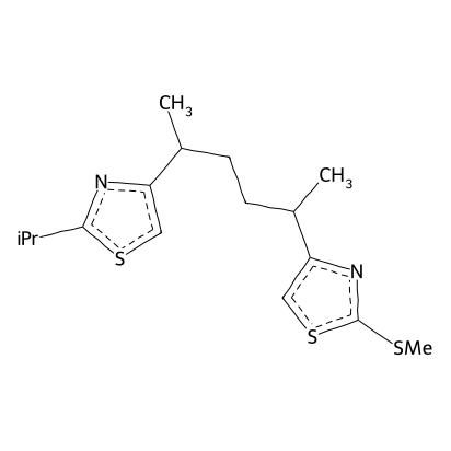 CSc1nc(C(C)CCC(C)c2csc(C(C)C)n2)cs1